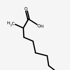 CC(CCCCCCl)C(=O)O